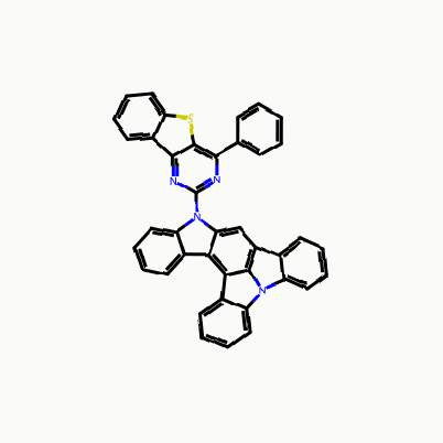 c1ccc(-c2nc(-n3c4ccccc4c4c5c6ccccc6n6c7ccccc7c(cc43)c56)nc3c2sc2ccccc23)cc1